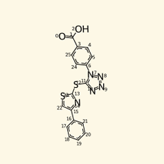 O=C(O)c1ccc(-n2nnnc2Sc2nc(-c3ccccc3)cs2)cc1